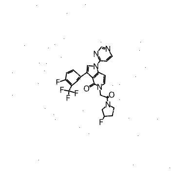 O=C(Cn1ccc2c(c(-c3ccc(F)c(C(F)(F)F)c3)cn2-c2ccncn2)c1=O)N1CCC(F)C1